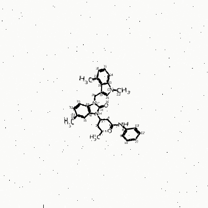 CCCC(CC(=O)Nc1ccccc1)n1c(=O)n(Cc2cn(C)c3cccc(C)c23)c2ccc(C)cc21